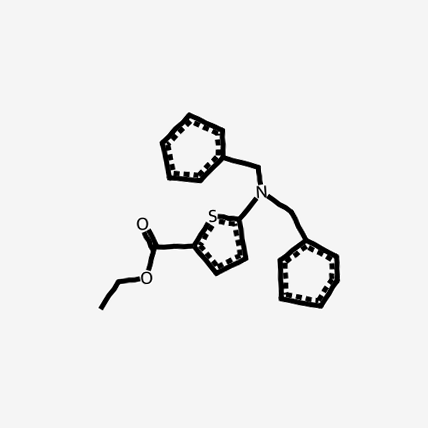 CCOC(=O)c1ccc(N(Cc2ccccc2)Cc2ccccc2)s1